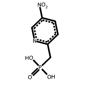 O=[N+]([O-])c1ccc(CP(=O)(O)O)nc1